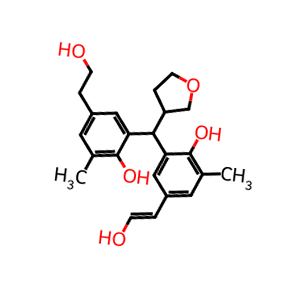 Cc1cc(C=CO)cc(C(c2cc(CCO)cc(C)c2O)C2CCOC2)c1O